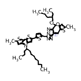 CCCCCCCCC(CCC)n1c2cc(C)sc2c2sc(-c3ccc(-c4nnc5/c(=C/c6ccc(C)s6)c(C(=O)OCC(CC)CCCC)nn45)s3)cc21